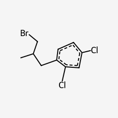 CC(CBr)Cc1ccc(Cl)cc1Cl